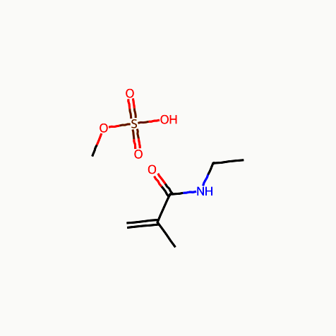 C=C(C)C(=O)NCC.COS(=O)(=O)O